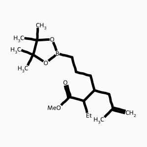 C=C(C)CC(CCCB1OC(C)(C)C(C)(C)O1)C(CC)C(=O)OC